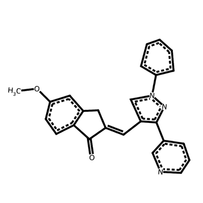 COc1ccc2c(c1)CC(=Cc1cn(-c3ccccc3)nc1-c1cccnc1)C2=O